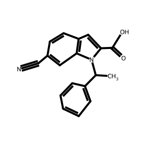 CC(c1ccccc1)n1c(C(=O)O)cc2ccc(C#N)cc21